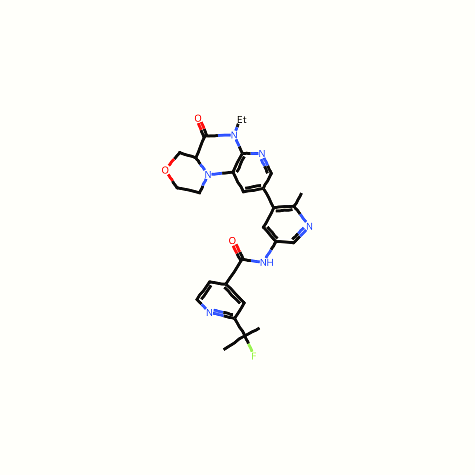 CCN1C(=O)C2COCCN2c2cc(-c3cc(NC(=O)c4ccnc(C(C)(C)F)c4)cnc3C)cnc21